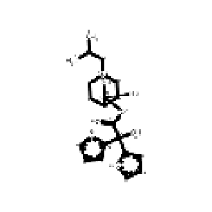 CC(C)C[N+]12CCC(CC1)[C@@H](OC(=O)C(O)(c1cccs1)c1cccs1)C2